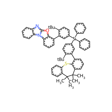 CC(C)(C)c1ccc([Si](c2ccccc2)(c2ccccc2)c2ccc(C(C)(C)C)c(-c3cccc4c3oc3nc5ccccc5n34)c2)cc1-c1cccc2c1Sc1ccccc1C(C)(C)C2(C)C